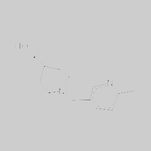 Cc1ccc(CN2CCC(C(C)(C)O)CC2)cn1